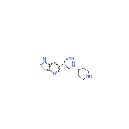 N=C/C(=C\NC1CCNCC1)c1cnc2cn[nH]c2c1